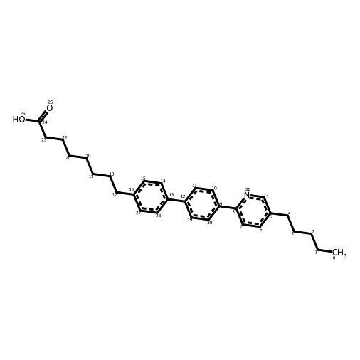 CCCCCc1ccc(-c2ccc(-c3ccc(CCCCCCCC(=O)O)cc3)cc2)nc1